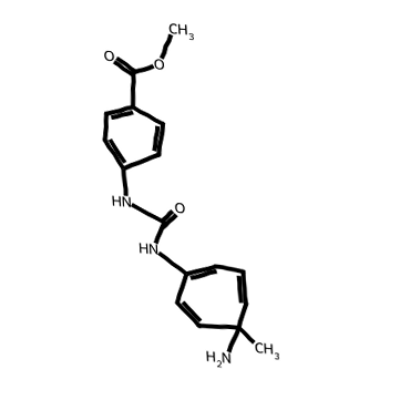 COC(=O)c1ccc(NC(=O)NC2=CC=CC(C)(N)C=C2)cc1